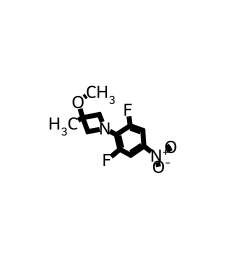 COC1(C)CN(c2c(F)cc([N+](=O)[O-])cc2F)C1